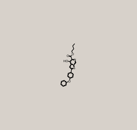 CCCCOC(=O)c1ncc2sc(-c3ccc(Oc4ccccc4)cc3)cc2c1O